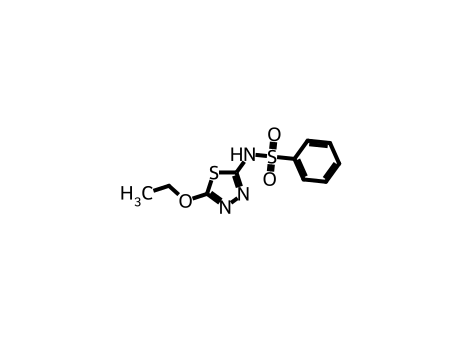 CCOc1nnc(NS(=O)(=O)c2ccccc2)s1